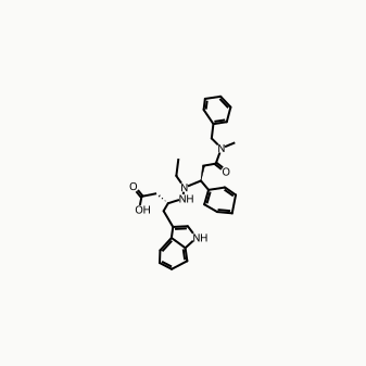 CCN(N[C@@H](CC(=O)O)Cc1c[nH]c2ccccc12)[C@@H](CC(=O)N(C)Cc1ccccc1)c1ccccc1